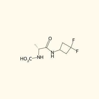 C[C@@H](NC(=O)O)C(=O)NC1CC(F)(F)C1